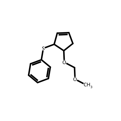 COCOC1CC=CC1Sc1ccccc1